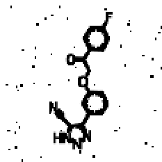 N#Cc1[nH]nnc1-c1cccc(OCC(=O)c2ccc(F)cc2)c1